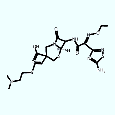 CCON=C(C(=O)NC1C(=O)N2CC(C=CSCCN(C)C)(C(=O)O)CS[C@H]12)c1nsc(N)n1